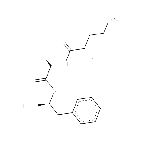 CC[C@H](C)[C@H](NC(=O)[C@@H](N)CCSC)C(=O)N[C@@H](Cc1ccccc1)C(=O)O